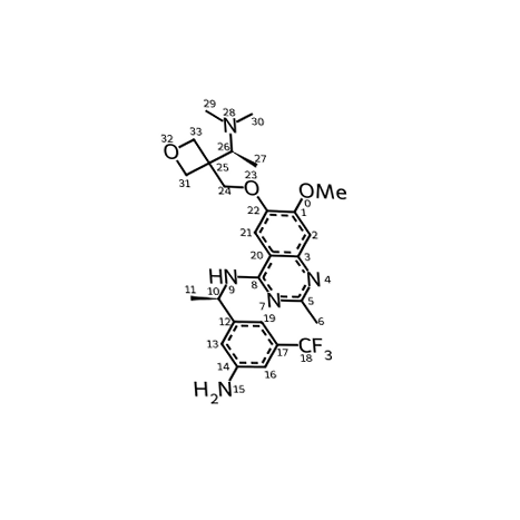 COc1cc2nc(C)nc(N[C@H](C)c3cc(N)cc(C(F)(F)F)c3)c2cc1OCC1([C@H](C)N(C)C)COC1